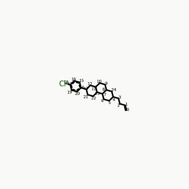 C=CCCC1CCC2C(CCC3CC(c4ccc(Cl)cc4)CCC32)C1